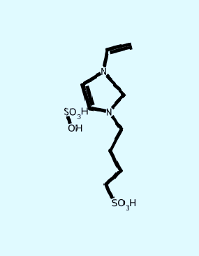 C=CN1C=CN(CCCCS(=O)(=O)O)C1.O=S(=O)(O)O